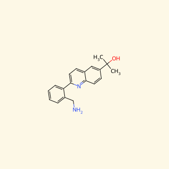 CC(C)(O)c1ccc2nc(-c3ccccc3CN)ccc2c1